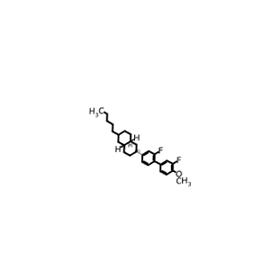 CCCCCC1CC[C@@H]2C[C@H](c3ccc(-c4ccc(OC)c(F)c4)c(F)c3)CC[C@@H]2C1